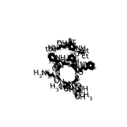 CC(O)[C@@H]1NC(=O)[C@H](CCCCN)NC(=O)[C@@H](Cc2c[nH]c3ccccc23)NC(=O)[C@H](Cc2ccccc2)NC(=O)[C@@H](NC(=O)[C@H](N)Cc2ccccc2)CSSC[C@@H](C(=O)N[C@H](CO)[C@@H](C)O)NC1=O.CCN(CC)C(=O)Nc1ccc(OCC(O)CNC(C)(C)C)c(C(C)=O)c1